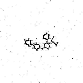 [O-][S+](c1ccccc1)N(C1CC1)C1CCN(Cc2ccc(-c3ccccc3)cc2)CC1